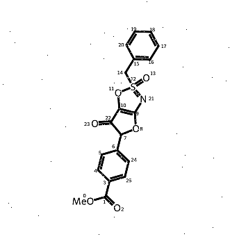 COC(=O)c1ccc(C2OC3=C(OS(=O)(Cc4ccccc4)=N3)C2=O)cc1